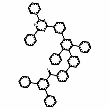 O=C(c1cccc(-c2cccc(-c3c(-c4ccccc4)cc(-c4cccc(-c5nc(-c6ccccc6)nc(-c6ccccc6)n5)c4)cc3-c3ccccc3)c2)c1)c1cc(-c2ccccc2)cc(-c2ccccc2)c1